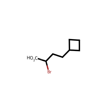 O=C(O)C(Br)CCC1CCC1